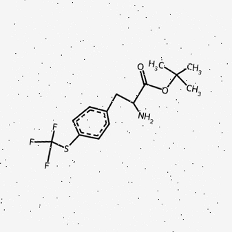 CC(C)(C)OC(=O)C(N)Cc1ccc(SC(F)(F)F)cc1